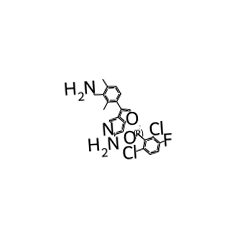 Cc1ccc(-c2coc3c(O[C@H](C)c4c(Cl)ccc(F)c4Cl)c(N)ncc23)c(C)c1CN